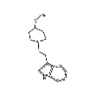 CCCCOC1CCN(CCc2c[nH]c3ccccc23)CC1